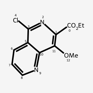 CCOC(=O)c1nc(Cl)c2cccnc2c1OC